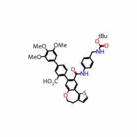 COc1cc(-c2ccc(-c3cc4c(cc3C(=O)Nc3ccc(CNC(=O)OC(C)(C)C)cc3)-c3sccc3CCO4)c(C(=O)O)c2)cc(OC)c1OC